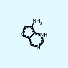 Nc1cnc2cnc[nH]c1-2